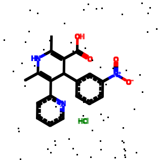 CC1=C(C(=O)O)C(c2cccc([N+](=O)[O-])c2)C(c2ccccn2)=C(C)N1.Cl